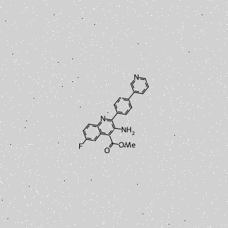 COC(=O)c1c(N)c(-c2ccc(-c3cccnc3)cc2)nc2ccc(F)cc12